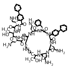 C[C@@H](O)C1CONCC[C@H](NC(=O)[C@H](CCN)NC(=O)C(NC(=O)[C@H](CCN)NC(=O)c2ccc(-c3ccccc3)cc2)[C@@H](C)O)C(=O)N[C@@H](CCN)C(=O)N[C@H](Cc2ccccc2)C(=O)NC(c2ccc(-c3ccccc3)cc2)C(=O)N[C@@H](CCN)C(=O)N[C@@H](CCN)C(=O)N1